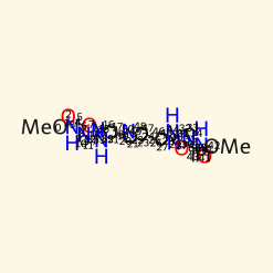 COC(=O)NC(C)C(=O)N1CCC[C@H]1c1nc2ccc(-c3ccc4cc(-c5ccc6nc([C@@H]7CCCN7C(=O)[C@@H](NC(=O)OC)C(C)C)[nH]c6c5)ccc4n3)cc2[nH]1